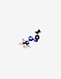 CC1CN(c2cc(-n3ncc4ccc([C@@H]5CC56CC6)cc43)ncn2)CC1C(C)(C)O